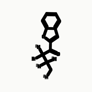 [2H]CC([2H])([2H])C([2H])(Br)C(=O)c1cc2ccccc2o1